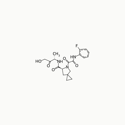 C[C@H](NC(=O)[C@@H]1CC2(CC2)CN1C(=O)C(=O)Nc1ccccc1F)C(=O)CO